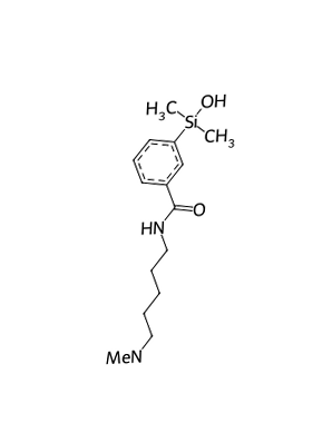 CNCCCCCNC(=O)c1cccc([Si](C)(C)O)c1